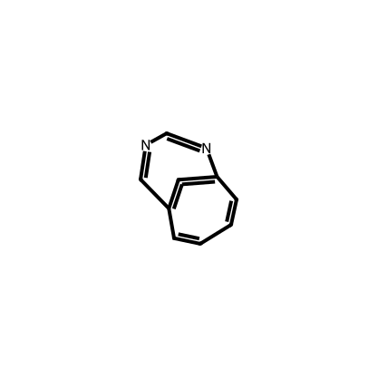 C1=C2C=CC=CC=1N=CN=C2